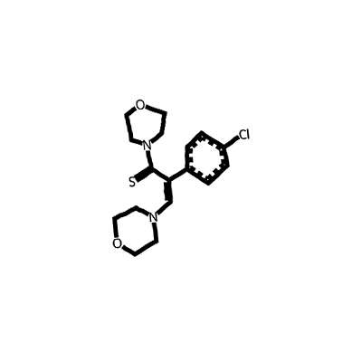 S=C(/C(=C\N1CCOCC1)c1ccc(Cl)cc1)N1CCOCC1